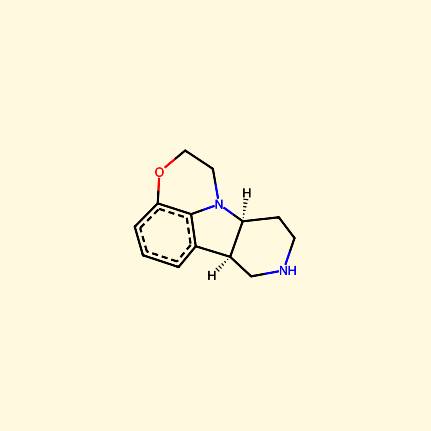 c1cc2c3c(c1)[C@@H]1CNCC[C@@H]1N3CCO2